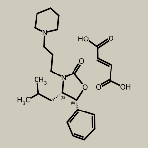 CC(C)C[C@H]1[C@@H](c2ccccc2)OC(=O)N1CCCN1CCCCC1.O=C(O)C=CC(=O)O